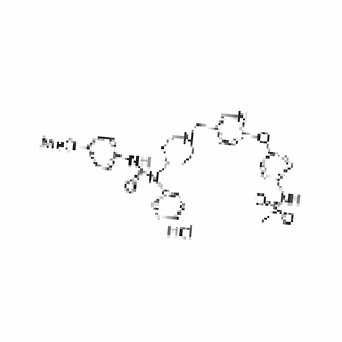 COc1ccc(NC(=O)N(c2ccccc2)C2CCN(Cc3ccc(Oc4ccc(NS(C)(=O)=O)cc4)nc3)CC2)cc1.Cl